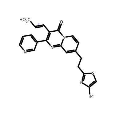 CC(C)c1csc(CCc2ccn3c(=O)c(/C=C/C(=O)O)c(-c4cccnc4)nc3c2)n1